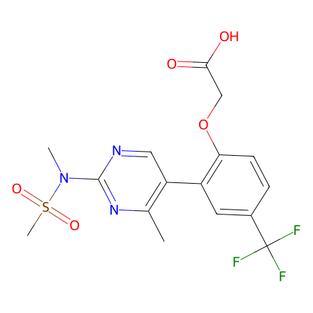 Cc1nc(N(C)S(C)(=O)=O)ncc1-c1cc(C(F)(F)F)ccc1OCC(=O)O